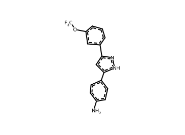 Nc1ccc(-c2cc(-c3cccc(OC(F)(F)F)c3)n[nH]2)cc1